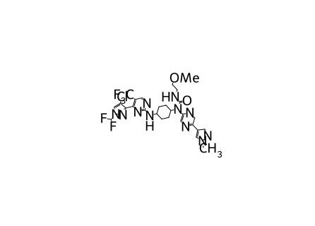 COCCNC(=O)N(c1cnc(-c2cnn(C)c2)cn1)C1CCC(Nc2ncc(C(F)(F)F)c(-c3nn(C(F)F)cc3Cl)n2)CC1